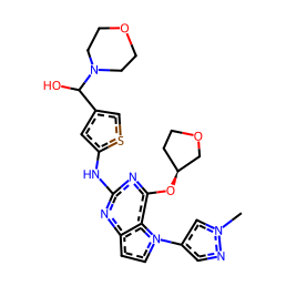 Cn1cc(-n2ccc3nc(Nc4cc(C(O)N5CCOCC5)cs4)nc(O[C@H]4CCOC4)c32)cn1